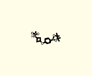 CC1(C)OB(c2ccc(OC3CC(NS(C)(=O)=O)C3)cc2)OC1(C)C